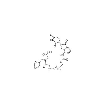 C[C@H](CC(=O)N(CC(=O)O)Cc1ccccc1)SS[C@@H](C)COC(=O)Nc1cccc2c1CN(C1CCC(=O)NC1=O)C2=O